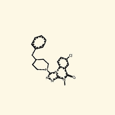 Cn1c(=O)c2cc(Cl)ccc2n2c(N3CCC(Cc4ccccc4)CC3)nnc12